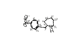 O=[N+]([O-])c1ccc(CC2CCCCCN2)cc1